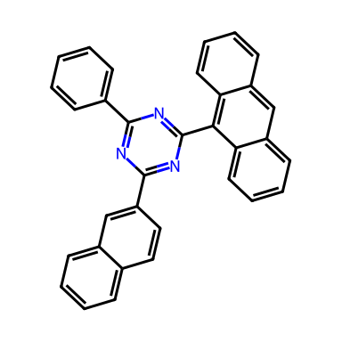 c1ccc(-c2nc(-c3ccc4ccccc4c3)nc(-c3c4ccccc4cc4ccccc34)n2)cc1